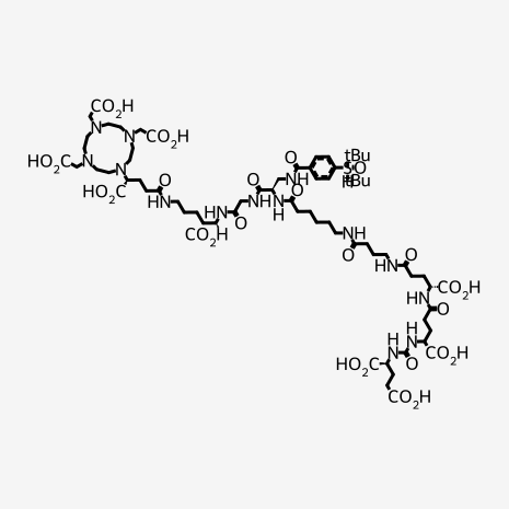 CC(C)(C)[SH](=O)(c1ccc(C(=O)NC[C@@H](NC(=O)CCCCCNC(=O)CCCNC(=O)CC[C@@H](NC(=O)CCC(NC(=O)N[C@@H](CCC(=O)O)C(=O)O)C(=O)O)C(=O)O)C(=O)NCC(=O)N[C@@H](CCCCNC(=O)CC[C@@H](C(=O)O)N2CCN(CC(=O)O)CCN(CC(=O)O)CCN(CC(=O)O)CC2)C(=O)O)cc1)C(C)(C)C